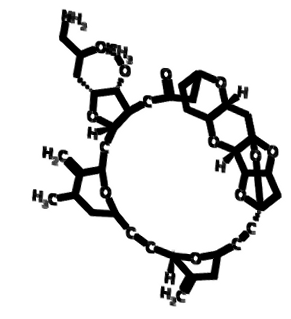 C=C1C(C)CC2CC[C@@H]3OC(CC[C@@]45CC6OC7C(O4)[C@H]4OC(CCC4O[C@H]7C6O5)CC(=O)CC4[C@H](CC1O2)O[C@H](CC(O)CN)[C@@H]4OC)CC3=C